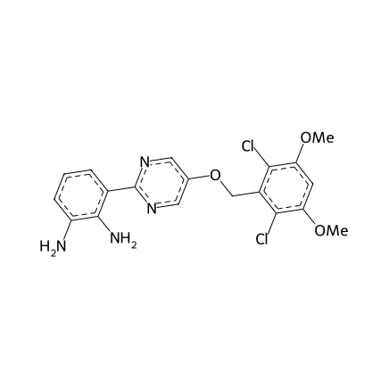 COc1cc(OC)c(Cl)c(COc2cnc(-c3cccc(N)c3N)nc2)c1Cl